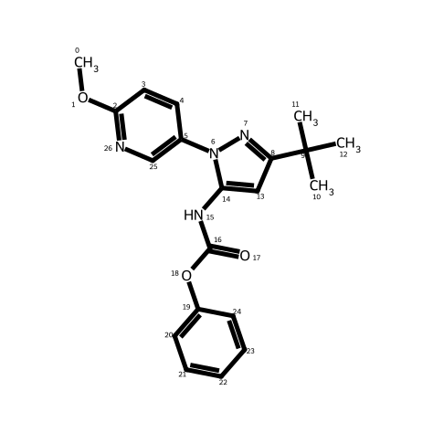 COc1ccc(-n2nc(C(C)(C)C)cc2NC(=O)Oc2ccccc2)cn1